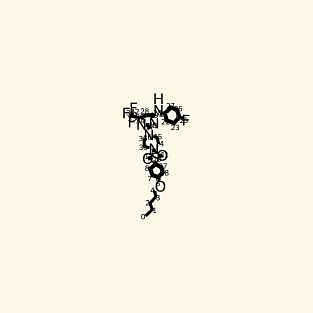 CCCCCOc1ccc(S(=O)(=O)N2CCN(c3nc(Nc4ccc(F)cc4)cc(C(F)(F)F)n3)CC2)cc1